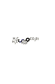 C=CC(=C)/C=C(F)\C=C/Nc1ccc(C(=O)OCC)cc1F